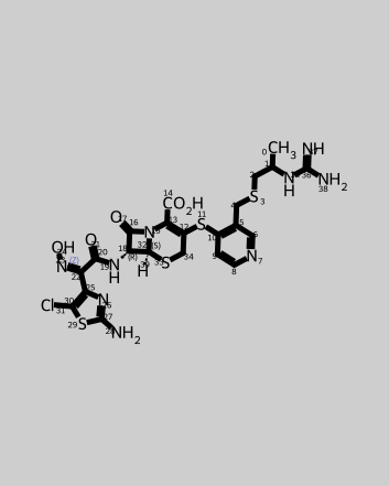 CC(CSCc1cnccc1SC1=C(C(=O)O)N2C(=O)[C@@H](NC(=O)/C(=N\O)c3nc(N)sc3Cl)[C@@H]2SC1)NC(=N)N